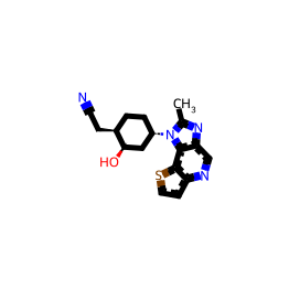 Cc1nc2cnc3ccsc3c2n1[C@H]1CC[C@H](CC#N)[C@H](O)C1